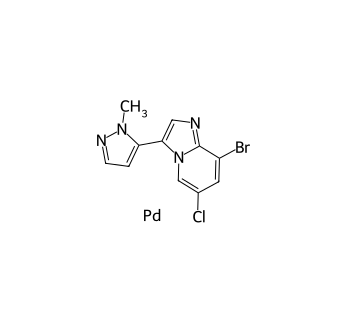 Cn1nccc1-c1cnc2c(Br)cc(Cl)cn12.[Pd]